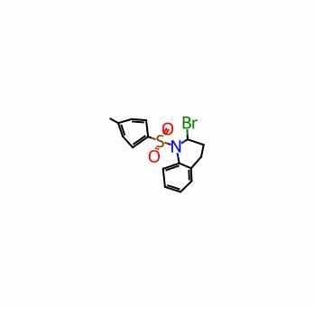 Cc1ccc(S(=O)(=O)N2c3ccccc3CCC2Br)cc1